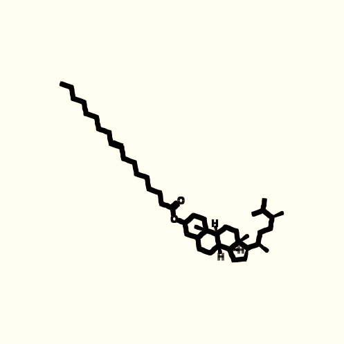 CCCCCCCC/C=C/CCCCCCCC(=O)OC1CC[C@@]2(C)C(CC[C@H]3[C@@H]4CC[C@H]([C@H](C)CC[C@H](C)C(C)C)[C@@]4(C)CC[C@@H]32)C1